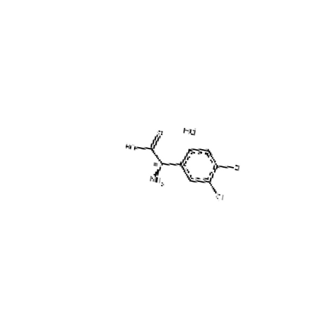 Cl.N[C@@H](C(=O)O)c1ccc(Cl)c(Cl)c1